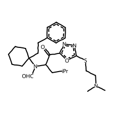 CC(C)CC(C(=O)c1nnc(SCCN(C)C)o1)N(C=O)C1(CCc2ccccc2)CCCCC1